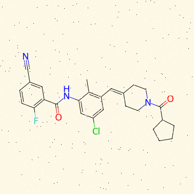 Cc1c(C=C2CCN(C(=O)C3CCCC3)CC2)cc(Cl)cc1NC(=O)c1cc(C#N)ccc1F